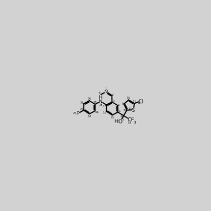 C/N=C\c1cc(C(O)(c2ccc(Cl)s2)C(F)(F)F)ccc1Nc1ccc(F)cc1